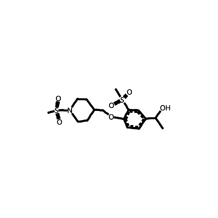 CC(O)c1ccc(OCC2CCN(S(C)(=O)=O)CC2)c(S(C)(=O)=O)c1